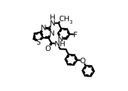 CC(Nc1nc(C(=O)NCCc2cccc(Oc3ccccc3)c2)c2sccc2n1)c1cncc(F)c1